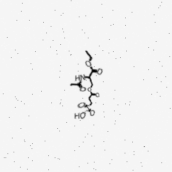 CCOC(=O)C(COC(=O)CCS(=O)(=O)O)NC(C)=O